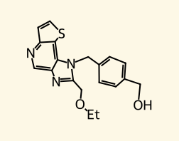 CCOCc1nc2cnc3ccsc3c2n1Cc1ccc(CO)cc1